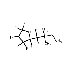 CCC(C)(C)C(F)(F)C1(F)OC(F)(F)C(F)C1(F)F